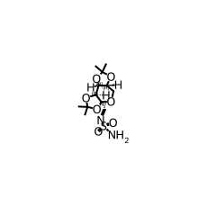 CC1(C)O[C@@H]2[C@@H](CO[C@@]3(C=NS(N)(=O)=O)OC(C)(C)O[C@@H]23)O1